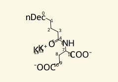 CCCCCCCCCCCCCC(=O)NC(CCC(=O)[O-])C(=O)[O-].[K+].[K+]